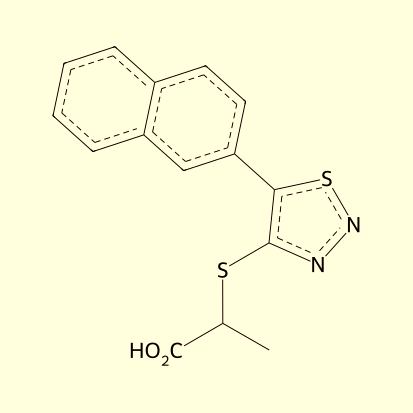 CC(Sc1nnsc1-c1ccc2ccccc2c1)C(=O)O